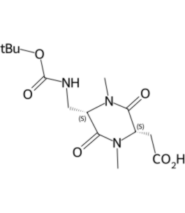 CN1C(=O)[C@H](CC(=O)O)N(C)C(=O)[C@@H]1CNC(=O)OC(C)(C)C